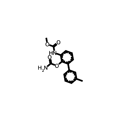 COC(=O)Nc1cccc(-c2cccc(C)c2)c1OC(N)=O